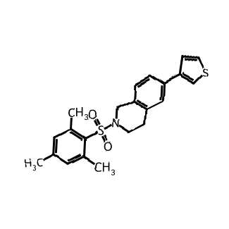 Cc1cc(C)c(S(=O)(=O)N2CCc3cc(-c4ccsc4)ccc3C2)c(C)c1